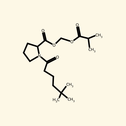 CC(C)C(=O)OCOC(=O)C1CCCN1C(=O)CCCC(C)(C)C